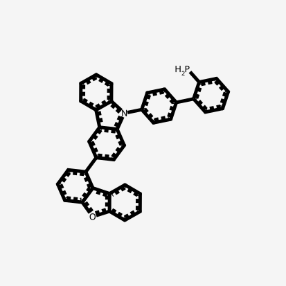 Pc1ccccc1-c1ccc(-n2c3ccccc3c3cc(-c4cccc5oc6ccccc6c45)ccc32)cc1